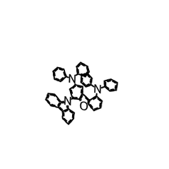 c1ccc(N(c2ccccc2)c2cc(-n3c4ccccc4c4ccccc43)c3oc4cccc(N(c5ccccc5)c5ccccc5)c4c3c2)cc1